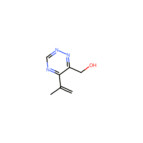 C=C(C)c1ncnnc1CO